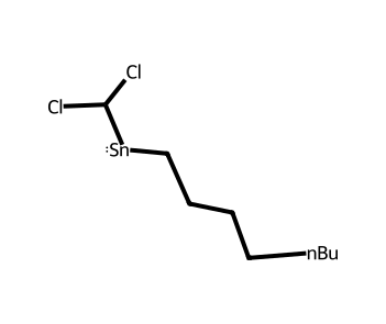 CCCCCCC[CH2][Sn][CH](Cl)Cl